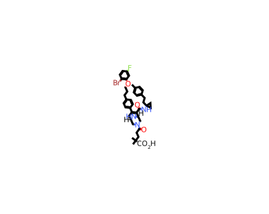 Cc1ccc(CCC2(NC(=O)C3=C(c4ccc(CCCOc5cc(F)ccc5Br)cc4)C[C@@H]4CN(C(=O)CCC(C)(C)C(=O)O)C[C@H]3N4)CC2)cc1